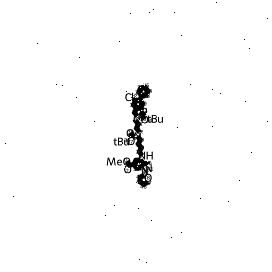 COC(=O)c1cc(NCCCCN(CCCCN(Cc2ccc(-c3ccccc3)c(Cl)c2)C(=O)OC(C)(C)C)C(=O)OC(C)(C)C)c2cnn(C3CCCCO3)c2c1